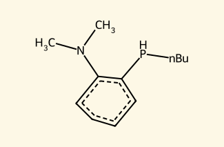 CCCCPc1ccccc1N(C)C